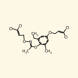 CCc1cc(OCC=C(Cl)Cl)cc(C)c1OC(C)=NOCC=C(Cl)Cl